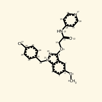 COc1ccc2c(c1)c(OCC(=O)Nc1ccncc1)nn2Cc1ccc(Cl)cc1